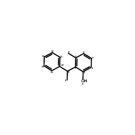 Cc1cccc(O)c1C(C)c1ccccc1